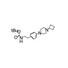 CC(C)(C)OC(=O)NCCc1ccc(N2CCN(C3CCC3)CC2)cc1